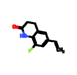 C=Cc1cc(F)c2c(c1)CCC(=O)N2